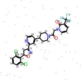 O=C(Cn1cccc(C(F)(F)F)c1=O)N1CCC(c2ccnc(C3=NOC(c4c(Cl)cccc4Cl)C3)c2)CC1